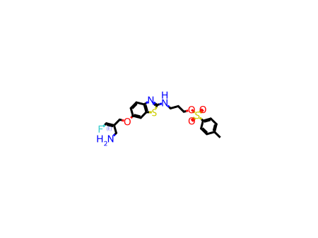 Cc1ccc(S(=O)(=O)OCCCNc2nc3ccc(OC/C(=C/F)CN)cc3s2)cc1